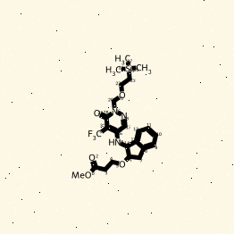 COC(=O)CCOC1Cc2ccccc2C1Nc1cnn(COCC[Si](C)(C)C)c(=O)c1C(F)(F)F